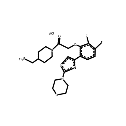 Cl.NCC1CCN(C(=O)COc2c(-c3csc(N4CCOCC4)n3)ccc(F)c2F)CC1